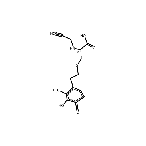 C#CCN[C@@H](CSCCn1ccc(=O)c(O)c1C)C(=O)O